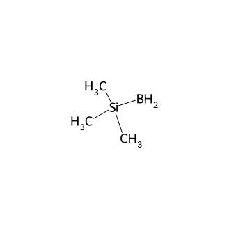 B[Si](C)(C)C